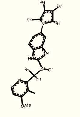 [2H]c1c([2H])c([2H])n(-c2ccc3[nH]c([S+]([O-])C([2H])([2H])c4nccc(OC)c4C)nc3c2)c1[2H]